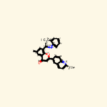 COc1ccc2cc(-c3cc(=O)c4cc(C)cc([C@@H](C)Nc5ccccc5C(=O)O)c4o3)ccc2n1